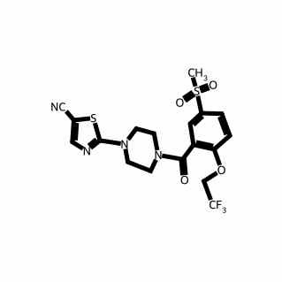 CS(=O)(=O)c1ccc(OCC(F)(F)F)c(C(=O)N2CCN(c3ncc(C#N)s3)CC2)c1